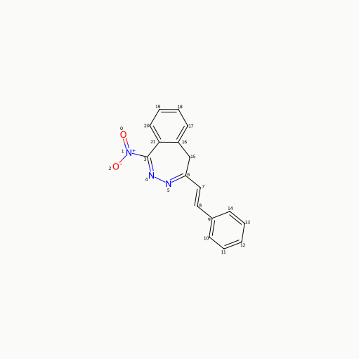 O=[N+]([O-])C1=NN=C(C=Cc2ccccc2)Cc2ccccc21